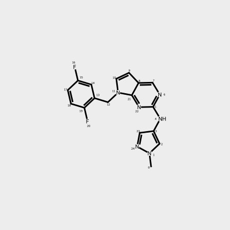 Cn1cc(Nc2ncc3ccn(Cc4cc(F)ccc4F)c3n2)cn1